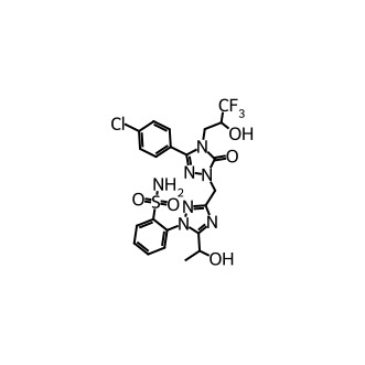 CC(O)c1nc(Cn2nc(-c3ccc(Cl)cc3)n(CC(O)C(F)(F)F)c2=O)nn1-c1ccccc1S(N)(=O)=O